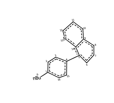 CCCCc1ccc(-c2cccc3cccnc23)cc1